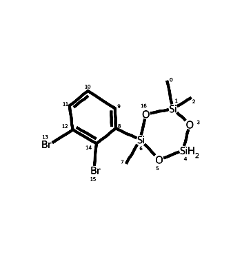 C[Si]1(C)O[SiH2]O[Si](C)(c2cccc(Br)c2Br)O1